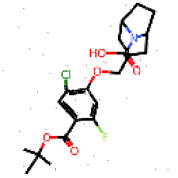 CC(C)(C)OC(=O)c1cc(Cl)c(OCC2CC3CCC(C2)N3C(=O)O)cc1F